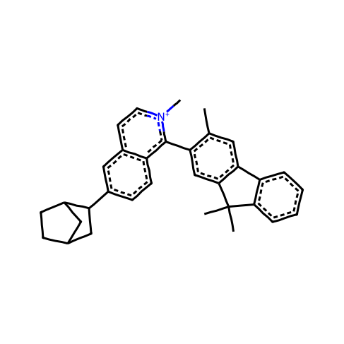 Cc1cc2c(cc1-c1c3ccc(C4CC5CCC4C5)cc3cc[n+]1C)C(C)(C)c1ccccc1-2